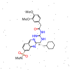 CNS(=O)(=O)c1ccc2cnc([C@@H](CC3CCCCC3)NC(=N)NC(=O)Cc3ccc(OC)c(OC)c3)nc2c1